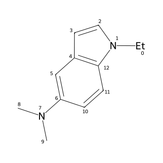 CCn1ccc2cc(N(C)C)ccc21